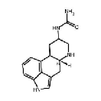 NC(=O)NC1CN[C@@H]2Cc3c[nH]c4cccc(c34)C2C1